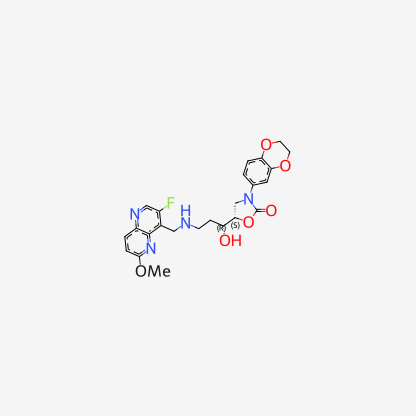 COc1ccc2ncc(F)c(CNCC[C@@H](O)[C@@H]3CN(c4ccc5c(c4)OCCO5)C(=O)O3)c2n1